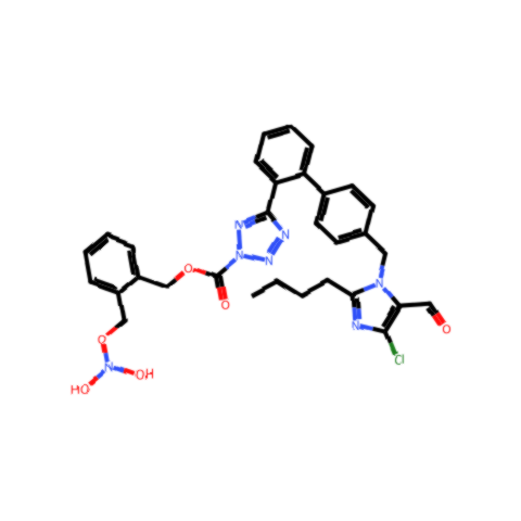 CCCCc1nc(Cl)c(C=O)n1Cc1ccc(-c2ccccc2-c2nnn(C(=O)OCc3ccccc3CON(O)O)n2)cc1